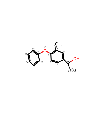 Cc1cc(C(O)C(C)(C)C)ccc1Oc1ccccc1